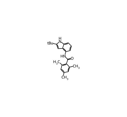 Cc1cc(C)c(C(=O)Nc2cccc3[nH]c(C(C)(C)C)cc23)c(C)c1